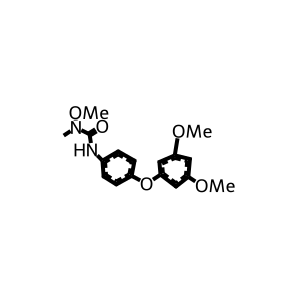 COc1cc(OC)cc(Oc2ccc(NC(=O)N(C)OC)cc2)c1